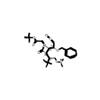 C[SiH](C)OC[C@H]([C@@H]1C(=O)N(CC(=O)OC(C)(C)C)[C@@H]1[C@H](C=C=O)OCc1ccccc1)C(C)(C)C